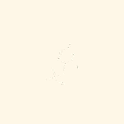 COS(=O)(=O)Oc1ccc(F)cc1F